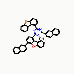 C=N/C(=N\C(=N/Cc1ccc2ccccc2c1)c1cccc2sc3ccccc3c12)c1ccc(-c2ccc3ccccc3c2)c2oc3ccccc3c12